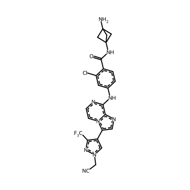 N#CCn1cc(-c2cnc3c(Nc4ccc(C(=O)NC56CC(N)(C5)C6)c(Cl)c4)nccn23)c(C(F)(F)F)n1